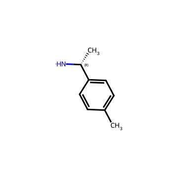 Cc1ccc([C@@H](C)[NH])cc1